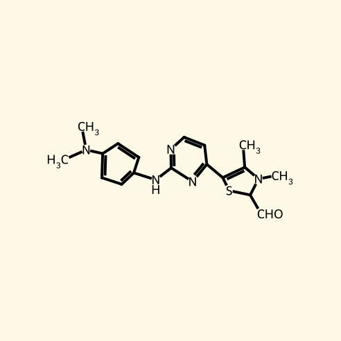 CC1=C(c2ccnc(Nc3ccc(N(C)C)cc3)n2)SC(C=O)N1C